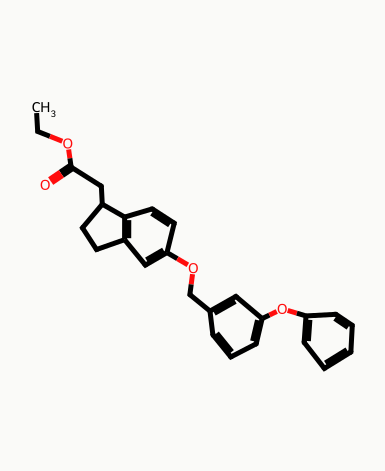 CCOC(=O)CC1CCc2cc(OCc3cccc(Oc4ccccc4)c3)ccc21